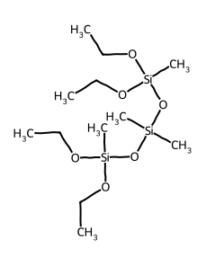 CCO[Si](C)(OCC)O[Si](C)(C)O[Si](C)(OCC)OCC